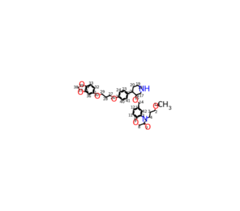 COCCCN1C(=O)COc2ccc(COC3CNCCC3c3ccc(OCCCOc4ccc5c(c4)OCO5)cc3)cc21